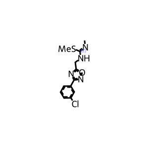 C/N=C(/NCc1nc(-c2cccc(Cl)c2)no1)SC